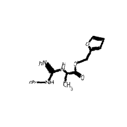 CCCNC(=N)NC(C)C(=O)OCc1ccco1